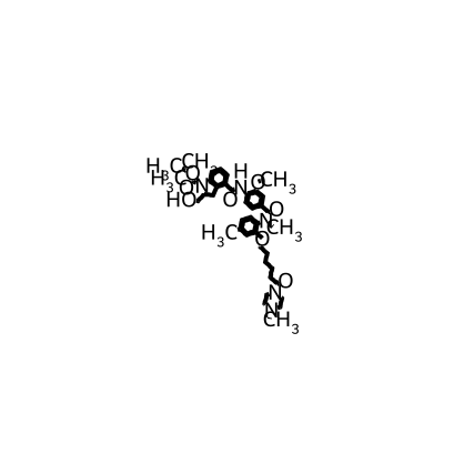 COc1cc(C(=O)N(C)c2ccc(C)cc2OCCCCCC(=O)N2CCN(C)CC2)ccc1NC(=O)c1cccc2c1CC(CO)N2C(=O)OC(C)(C)C